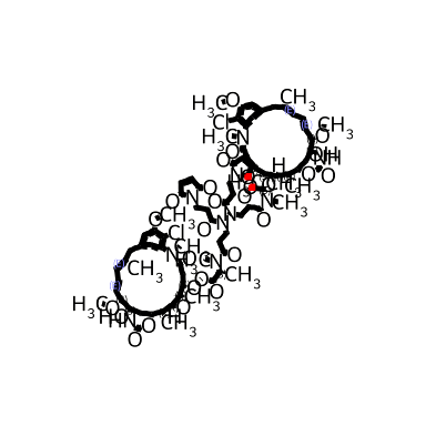 COc1cc2cc(c1Cl)N(C)C(=O)C[C@H](OOC(=O)[C@H](C)N(C)C(=O)CCN(C(=O)CCN1C(=O)C=CC1=O)N(CCC(=O)N(C)[C@@H](C)C(=O)O[C@H]1CC(=O)N(C)c3cc(cc(OC)c3Cl)C/C(C)=C/C=C/[C@@H](OC)[C@@]3(O)CC(OC(=O)N3)[C@@H](C)[C@H]3O[C@@]13C)C(=O)CCN1C(=O)C=CC1=O)[C@]1(C)O[C@@H]1[C@H](C)C1C[C@@](O)(NC(=O)O1)[C@H](OC)/C=C/C=C(\C)C2